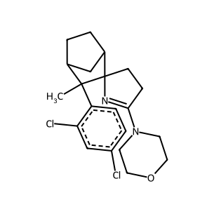 CC1(c2ccc(Cl)cc2Cl)C2CCC(C2)C12CCC(N1CCOCC1)=N2